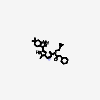 C=C(/C=C\c1cc(-c2n[nH]c3c2CCC(C)(C)C3)[nH]c1C)N(CCC1CC1)C(=O)CC1CCCCC1